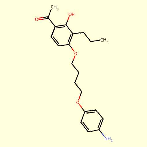 CCCc1c(OCCCCOc2ccc(N)cc2)ccc(C(C)=O)c1O